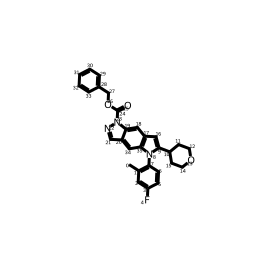 Cc1cc(F)ccc1-n1c(C2CCOCC2)cc2cc3c(cnn3C(=O)OCc3ccccc3)cc21